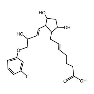 O=C(O)CCC/C=C/CC1C(O)CC(O)C1/C=C/C(O)COc1cccc(Cl)c1